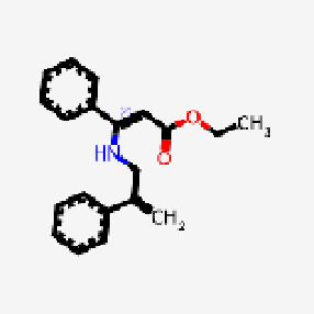 C=C(CN/C(=C\C(=O)OCC)c1ccccc1)c1ccccc1